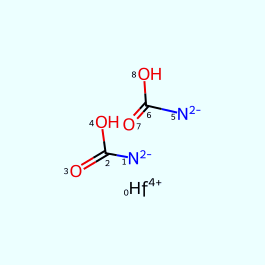 [Hf+4].[N-2]C(=O)O.[N-2]C(=O)O